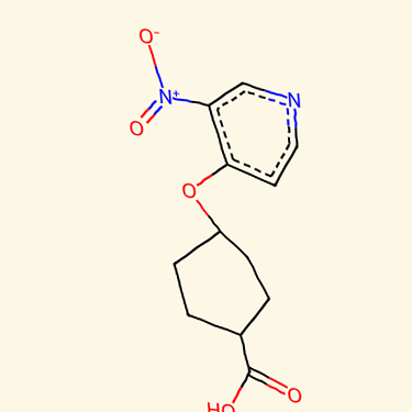 O=C(O)C1CCC(Oc2ccncc2[N+](=O)[O-])CC1